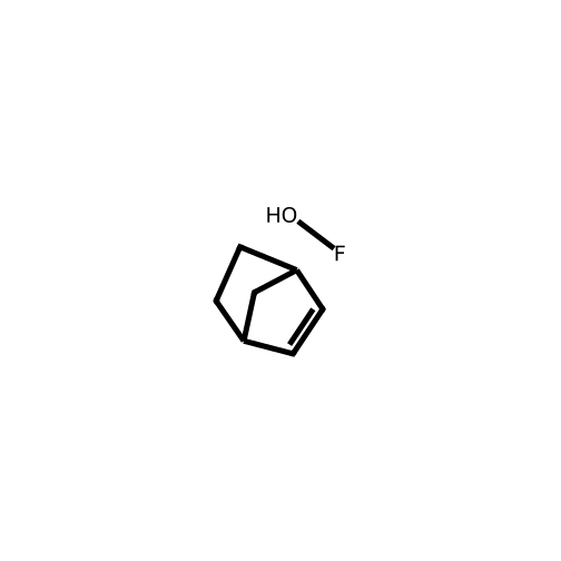 C1=CC2CCC1C2.OF